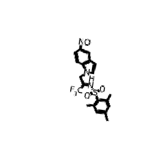 Cc1cc(C)c(S(=O)(=O)NC(Cn2ccc3cc(N=O)ccc32)C(F)(F)F)c(C)c1